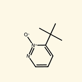 CC(C)(C)c1cccn[n+]1[O-]